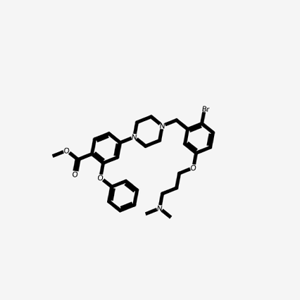 COC(=O)c1ccc(N2CCN(Cc3cc(OCCCN(C)C)ccc3Br)CC2)cc1Oc1ccccc1